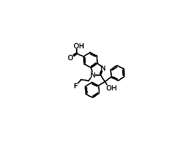 O=C(O)c1ccc2nc(C(O)(c3ccccc3)c3ccccc3)n(CCF)c2c1